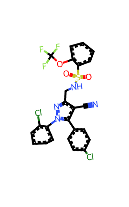 N#Cc1c(CNS(=O)(=O)c2ccccc2OC(F)(F)F)nn(-c2ccccc2Cl)c1-c1ccc(Cl)cc1